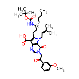 CCCC[C@H](CCc1c(C(=O)O)c2ncn(CC(=O)c3cccc(OC)c3)c(=O)c2n1CC=C(C)C)NC(=O)OC(C)(C)C